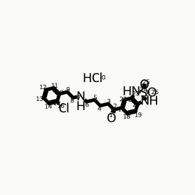 Cl.O=C(CCCCNCCc1ccccc1Cl)c1ccc2c(c1)NS(=O)(=O)N2